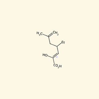 C=C(C)CC(/C=C(\O)C(=O)O)CC